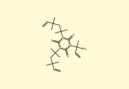 C=CC(C)(C)CC(C)(C)n1c(=O)n(C(C)(P)C=C)c(=O)n(C(C)(C)CC(C)(C)C=C)c1=O